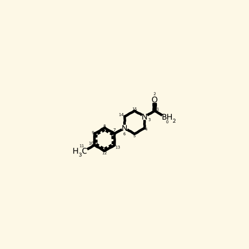 BC(=O)N1CCN(c2ccc(C)cc2)CC1